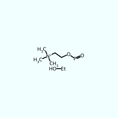 CCO.C[N+](C)(C)CCOP=O